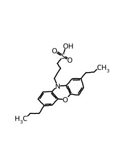 CCCc1ccc2c(c1)Oc1ccc(CCC)cc1N2CCCS(=O)(=O)O